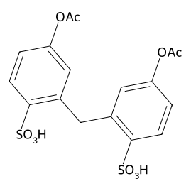 CC(=O)Oc1ccc(S(=O)(=O)O)c(Cc2cc(OC(C)=O)ccc2S(=O)(=O)O)c1